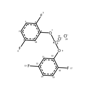 Fc1ccc(F)c([O][Zr+2][O]c2cc(F)ccc2F)c1.[Cl-].[Cl-]